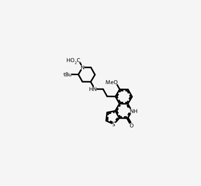 COc1ccc2[nH]c(=O)c3sccc3c2c1CCNC1CCN(C(=O)O)C(C(C)(C)C)C1